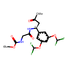 COC(=O)C[C@H](NC(=O)CNC(=O)OC(C)(C)C)c1cc(OC(F)F)cc(OC(F)F)c1